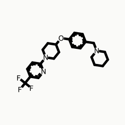 FC(F)(F)c1ccc(N2CCC(Oc3ccc(CN4CCCCC4)cc3)CC2)nc1